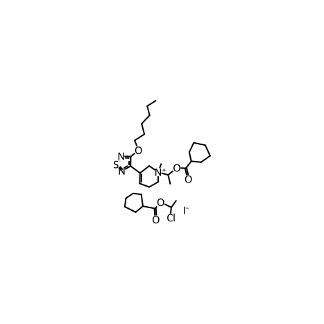 CC(Cl)OC(=O)C1CCCCC1.CCCCCCOc1nsnc1C1=CCC[N+](C)(C(C)OC(=O)C2CCCCC2)C1.[I-]